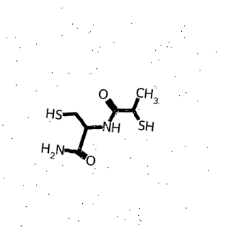 CC(S)C(=O)NC(CS)C(N)=O